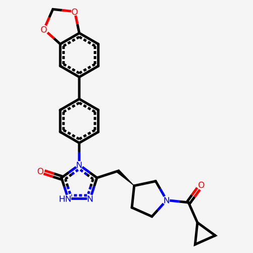 O=C(C1CC1)N1CC[C@@H](Cc2n[nH]c(=O)n2-c2ccc(-c3ccc4c(c3)OCO4)cc2)C1